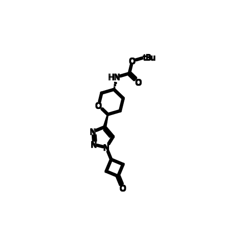 CC(C)(C)OC(=O)N[C@@H]1CC[C@@H](c2cn(C3CC(=O)C3)nn2)OC1